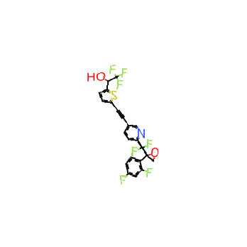 OC(c1ccc(C#Cc2ccc(C(F)(F)C3(c4ccc(F)cc4F)CO3)nc2)s1)C(F)(F)F